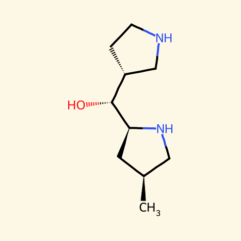 C[C@@H]1CN[C@H]([C@H](O)[C@@H]2CCNC2)C1